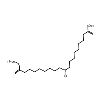 CCCCCCCCCCC(=O)CCCCCCCCN(CC)CCCCCCCCC(=O)OCCCCCCCCC